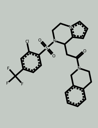 O=C(CC1c2cccn2CCN1S(=O)(=O)c1ccc(C(F)(F)F)cc1Cl)N1CCc2ccccc2C1